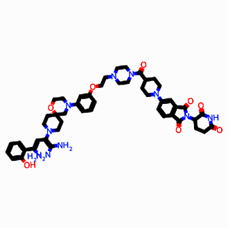 NC(N)=C(/C=C(\N)c1ccccc1O)N1CCC2(CC1)CN(c1cccc(OCCN3CCN(C(=O)C4CCN(c5ccc6c(c5)C(=O)N(C5CCC(=O)NC5=O)C6=O)CC4)CC3)c1)CCO2